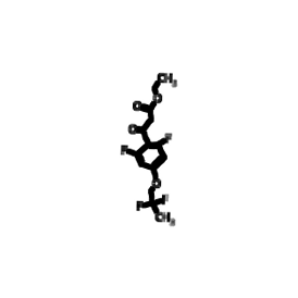 CCOC(=O)CC(=O)c1c(F)cc(OCC(C)(F)F)cc1F